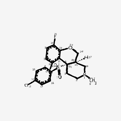 CN1CC[C@@]2(S(=O)(=O)c3ccc(Cl)cc3)c3c(F)ccc(F)c3OC[C@H]2C1